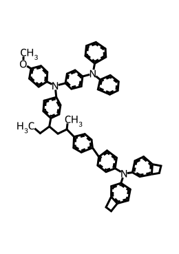 CCC(CC(C)c1ccc(-c2ccc(N(c3ccc4c(c3)CC4)c3ccc4c(c3)CC4)cc2)cc1)c1ccc(N(c2ccc(OC)cc2)c2ccc(N(c3ccccc3)c3ccccc3)cc2)cc1